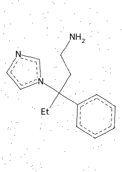 CCC(CCN)(c1ccccc1)n1ccnc1